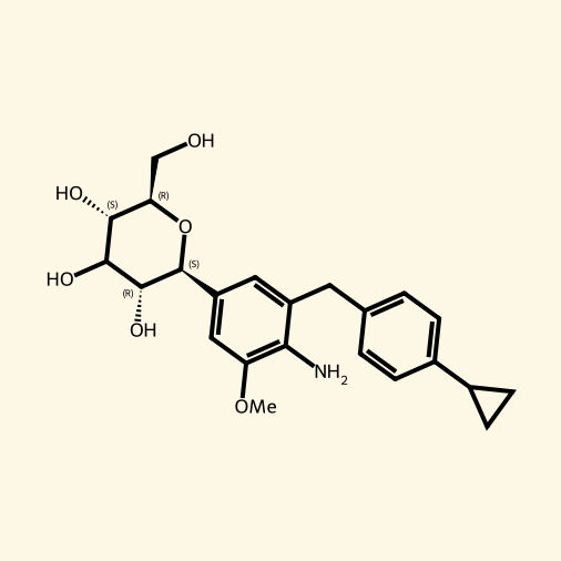 COc1cc([C@@H]2O[C@H](CO)[C@@H](O)C(O)[C@H]2O)cc(Cc2ccc(C3CC3)cc2)c1N